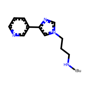 CC(C)(C)NCCCn1cnc(-c2cccnc2)c1